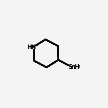 [SnH][CH]1CCNCC1